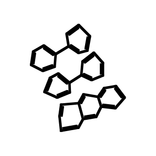 c1ccc(-c2ccccc2)cc1.c1ccc(-c2ccccc2)cc1.c1ccc2cc3ccccc3cc2c1